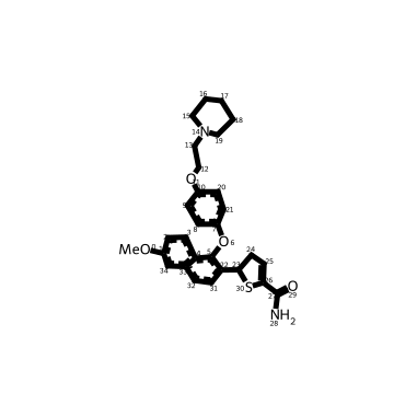 COc1ccc2c(Oc3ccc(OCCN4CCCCC4)cc3)c(C3CC=C(C(N)=O)S3)ccc2c1